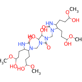 COC(O)CCC1NC(=O)N(CN2C(=O)N(CN3C(=O)NC(CCC(O)OC)C3CCC(O)OC)C(O)C2O)C1CCC(O)OC